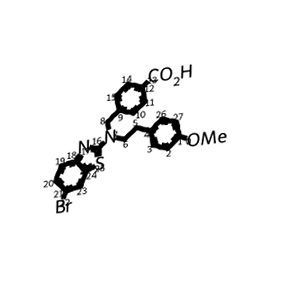 COc1ccc(CCN(Cc2ccc(C(=O)O)cc2)c2nc3ccc(Br)cc3s2)cc1